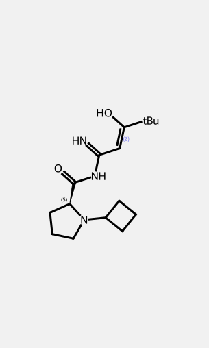 CC(C)(C)/C(O)=C/C(=N)NC(=O)[C@@H]1CCCN1C1CCC1